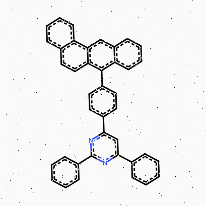 c1ccc(-c2cc(-c3ccc(-c4c5ccccc5cc5c4ccc4ccccc45)cc3)nc(-c3ccccc3)n2)cc1